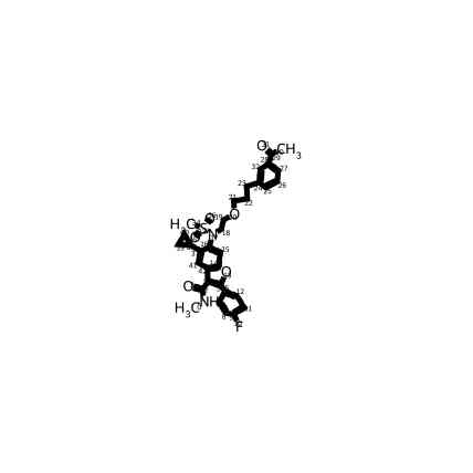 CNC(=O)c1c(-c2ccc(F)cc2)oc2cc(N(CCOCCCc3cccc(C(C)=O)c3)S(C)(=O)=O)c(C3CC3)cc12